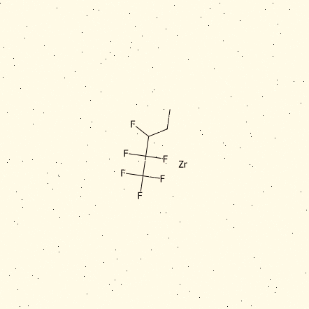 CCC(F)C(F)(F)C(F)(F)F.[Zr]